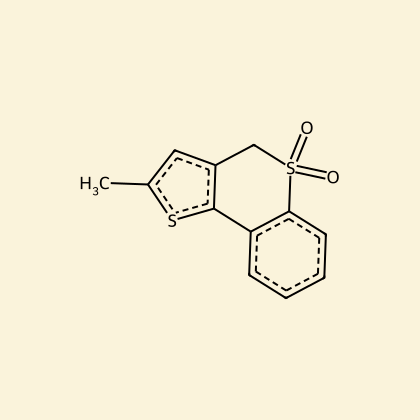 Cc1cc2c(s1)-c1ccccc1S(=O)(=O)C2